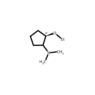 CCO[C@@H]1CCCC1N(C)C